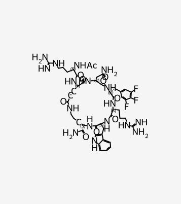 CC(=O)N[C@@H](CCCNC(=N)N)C(=O)N[C@H]1CCC(=O)NCCC[C@@H](C(N)=O)NC(=O)[C@H](Cc2c[nH]c3ccccc23)NC(=O)[C@H](CCCNC(=N)N)NC(=O)[C@@H](Cc2cc(F)c(F)c(F)c2)NC(=O)[C@H](CC(N)=O)NC1=O